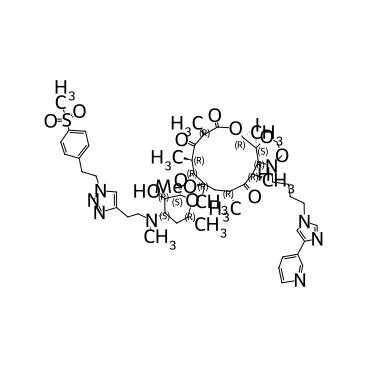 CO[C@]1(C)C[C@@H](C)C(=O)[C@H](C)[C@H]2N(CCCCn3cnc(-c4cccnc4)c3)OCO[C@]2(C)[C@@H](I)OC(=O)[C@H](C)C(=O)[C@H](C)[C@H]1O[C@@H]1O[C@H](C)C[C@H](N(C)CCc2cn(CCc3ccc(S(C)(=O)=O)cc3)nn2)[C@H]1O